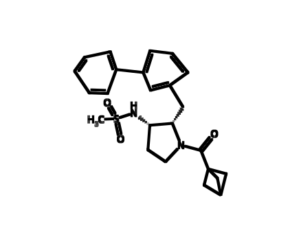 CS(=O)(=O)N[C@H]1CCN(C(=O)C23CC(C2)C3)[C@H]1Cc1cccc(-c2ccccc2)c1